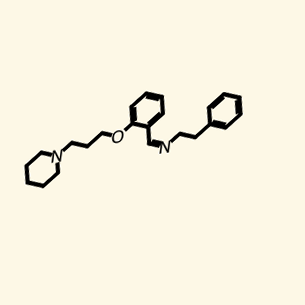 C(=N/CCc1ccccc1)/c1ccccc1OCCCN1CCCCC1